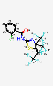 O=C(NC1=NC(C(F)(F)F)(C(F)(F)F)C(=C(F)C(F)(F)F)S1)c1ccccc1Cl